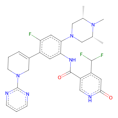 C[C@@H]1CN(c2cc(F)c(C3=CCCN(c4ncccn4)C3)cc2NC(=O)c2c[nH]c(=O)cc2C(F)F)C[C@H](C)N1C